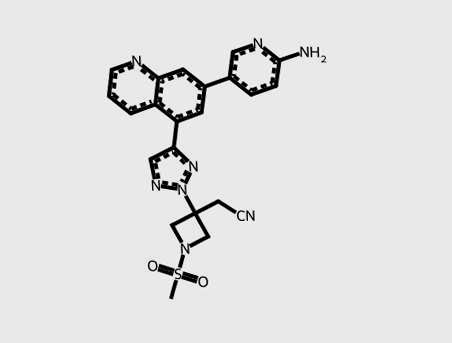 CS(=O)(=O)N1CC(CC#N)(n2ncc(-c3cc(-c4ccc(N)nc4)cc4ncccc34)n2)C1